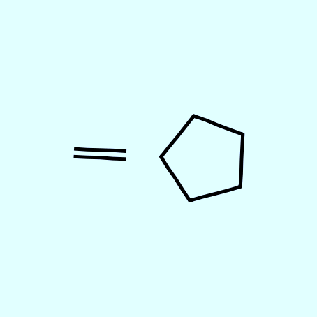 C1CCCC1.C=C